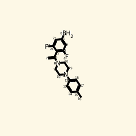 Bc1cc(F)c(C(=C)N2CCN(c3ccc(C)cc3)CC2)c(F)c1